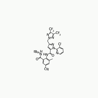 Cc1cc(C#N)cc(C(=O)NC(C)(C)C)c1NC(=O)c1cc(Cn2nc(C(F)(F)F)c(C(F)(F)F)n2)nn1-c1ncccc1Cl